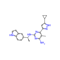 Cc1c(N)nc(N[C@@H](C)c2ccc3[nH]ccc3c2)nc1-c1cc(C2CC2)[nH]n1